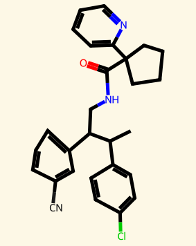 CC(c1ccc(Cl)cc1)C(CNC(=O)C1(c2ccccn2)CCCC1)c1cccc(C#N)c1